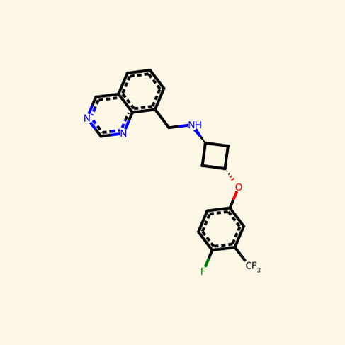 Fc1ccc(O[C@H]2C[C@H](NCc3cccc4cncnc34)C2)cc1C(F)(F)F